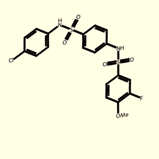 COc1ccc(S(=O)(=O)Nc2ccc(S(=O)(=O)Nc3ccc(Cl)cc3)cc2)cc1F